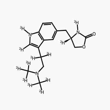 [2H]c1c(C([2H])([2H])CN(C([2H])([2H])[2H])C([2H])([2H])[2H])c2cc(C[C@@]3([2H])COC(=O)N3[2H])ccc2n1[2H]